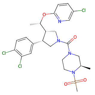 C[C@H](Oc1ccc(Cl)cn1)[C@@H]1CN(C(=O)N2CCN(S(C)(=O)=O)[C@H](C)C2)C[C@@H]1c1ccc(Cl)c(Cl)c1